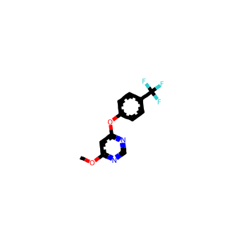 COc1cc(Oc2ccc(C(F)(F)F)cc2)ncn1